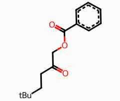 CC(C)(C)CCC(=O)COC(=O)c1ccccc1